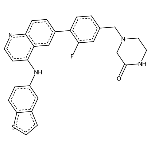 O=C1CN(Cc2ccc(-c3ccc4nccc(Nc5ccc6sccc6c5)c4c3)c(F)c2)CCN1